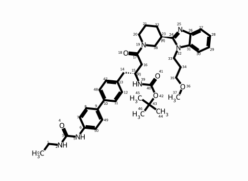 CCNC(=O)Nc1ccc(-c2ccc(C[C@H](CC(=O)N3CCC[C@@H](c4nc5ccccc5n4CCCOC)C3)NC(=O)OC(C)(C)C)cc2)cc1